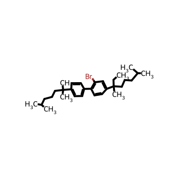 CCC(C)(CCCC(C)C)c1ccc(-c2ccc(C(C)(C)CCCC(C)C)cc2)c(Br)c1